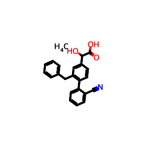 C.N#Cc1ccccc1-c1ccc(C(O)C(=O)O)cc1Cc1ccccc1